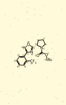 CC(C)(C)OC(=O)N1CCC[C@H]1c1nc(-c2ccccc2C(F)(F)F)no1